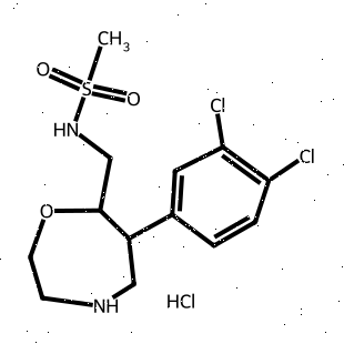 CS(=O)(=O)NCC1OCCNCC1c1ccc(Cl)c(Cl)c1.Cl